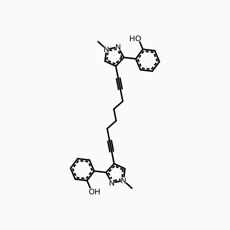 Cn1cc(C#CCCCCC#Cc2cn(C)nc2-c2ccccc2O)c(-c2ccccc2O)n1